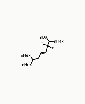 CCCCCCC(C/C=C/C(F)(F)C(CCCC)CCCCCC)CCCCCC